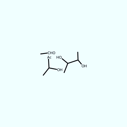 CC(=O)C(C)O.CC(O)C(C)O.CC=O